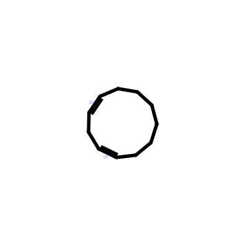 [CH]1/C=C\C/C=C\CCCCC1